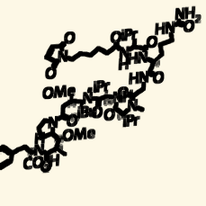 CC[C@H](C)C([C@@H](CC(=O)N1CCCC1[C@H](OC)[C@@H](C)C(=O)N[C@@H](Cc1ccccc1)C(=O)O)OC)N(C)C(=O)[C@@H](NC(=O)[C@H](C(C)C)N(C)C(=O)CNC(=O)[C@H](CCCNC(N)=O)NC(=O)C(NC(=O)CCCCCN1C(=O)C=CC1=O)C(C)C)C(C)C